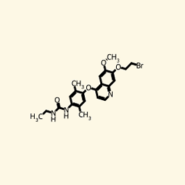 CCNC(=O)Nc1cc(C)c(Oc2ccnc3cc(OCCBr)c(OC)cc23)cc1C